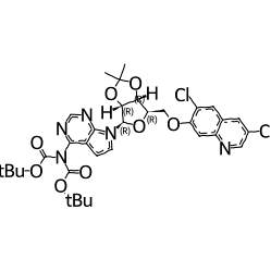 CC(C)(C)OC(=O)N(C(=O)OC(C)(C)C)c1ncnc2c1ccn2[C@@H]1O[C@H](COc2cc3ncc(Cl)cc3cc2Cl)[C@H]2OC(C)(C)O[C@H]21